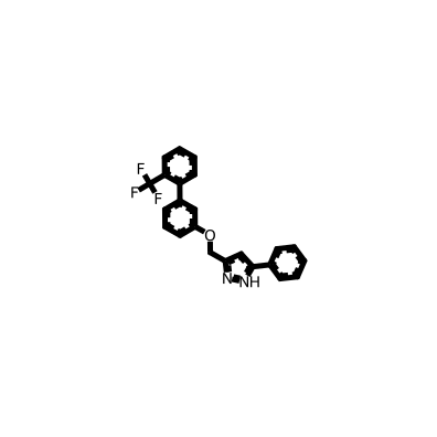 FC(F)(F)c1ccccc1-c1cccc(OCc2cc(-c3ccccc3)[nH]n2)c1